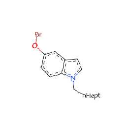 CCCCCCCCn1ccc2cc(OBr)ccc21